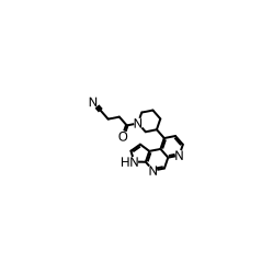 N#CCCC(=O)N1CCCC(c2ccnc3cnc4[nH]ccc4c23)C1